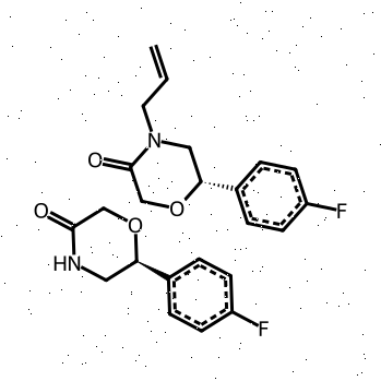 C=CCN1C[C@H](c2ccc(F)cc2)OCC1=O.O=C1CO[C@@H](c2ccc(F)cc2)CN1